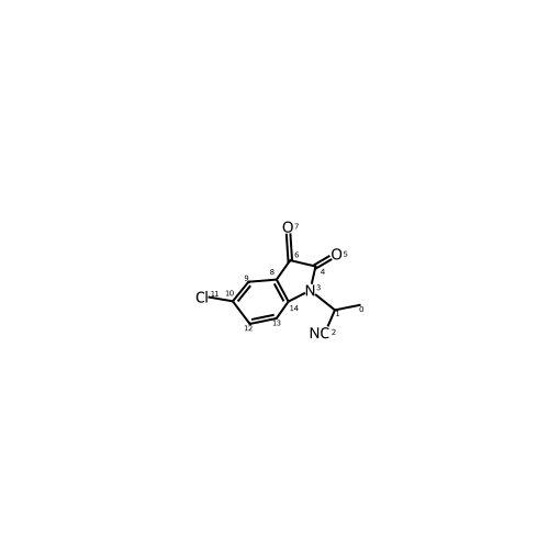 CC(C#N)N1C(=O)C(=O)c2cc(Cl)ccc21